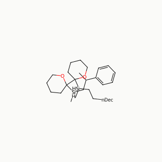 CCCCCCCCCCCC[SiH](C)C1(C2([SiH](C)CC(C)c3ccccc3)CCCCO2)CCCCO1